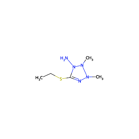 CCSC1=NN(C)N(C)N1N